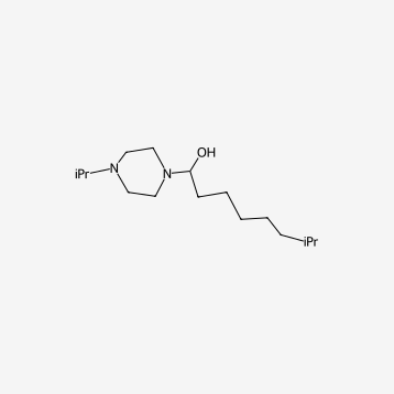 CC(C)CCCCCC(O)N1CCN(C(C)C)CC1